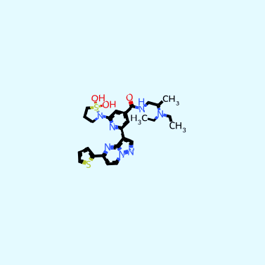 CCN(CC)C(C)CNC(=O)c1cc(-c2cnn3ccc(-c4cccs4)nc23)nc(N2CCCS2(O)O)c1